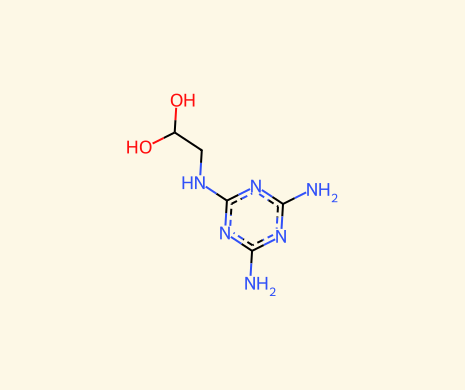 Nc1nc(N)nc(NCC(O)O)n1